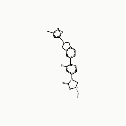 CC[C@H]1CN(c2ccc(-c3ccc4c(c3)CN(c3cn(C)nn3)C4)c(F)c2)C(=O)O1